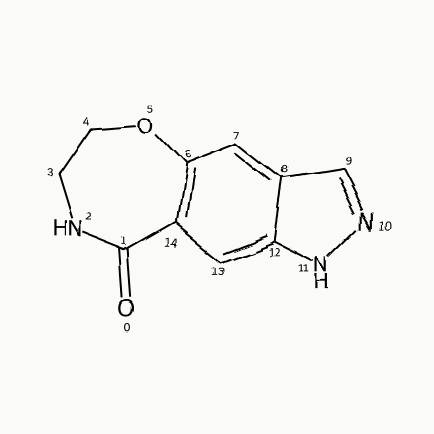 O=C1NCCOc2cc3cn[nH]c3cc21